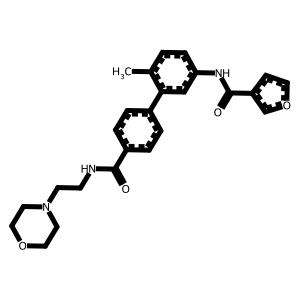 Cc1ccc(NC(=O)c2ccoc2)cc1-c1ccc(C(=O)NCCN2CCOCC2)cc1